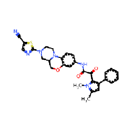 Cc1cc(-c2ccccc2)c(C(=O)C(=O)Nc2ccc3c(c2)OCC2CN(c4ncc(C#N)s4)CCN32)n1C